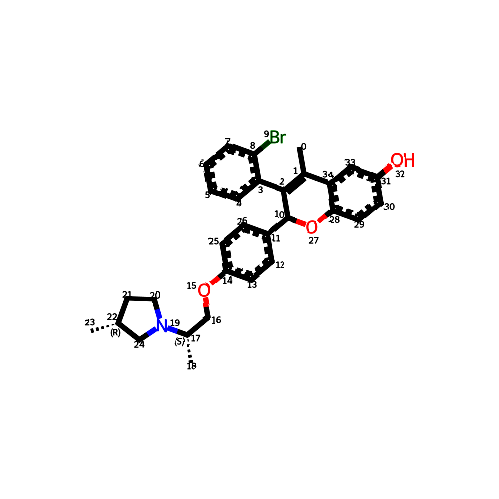 CC1=C(c2ccccc2Br)C(c2ccc(OC[C@H](C)N3CC[C@@H](C)C3)cc2)Oc2ccc(O)cc21